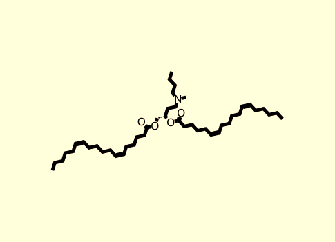 CCCCC/C=C\CCCC/C=C\CCCCC(=O)OC[C@H](CCN(C)CCCC)OC(=O)CCCC/C=C\CCCC/C=C\CCCCC